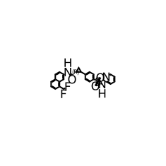 O=C(Nc1ccc2cccc(C(F)F)c2c1)[C@@H]1CC1c1ccc(S(=O)(=O)Nc2ccccn2)cc1